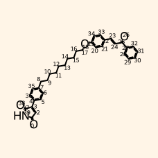 O=C1C=C(c2ccc(CCCCCCCCCCOc3ccc(C=CC(=O)c4ccccc4)cc3)cc2)C(=O)N1